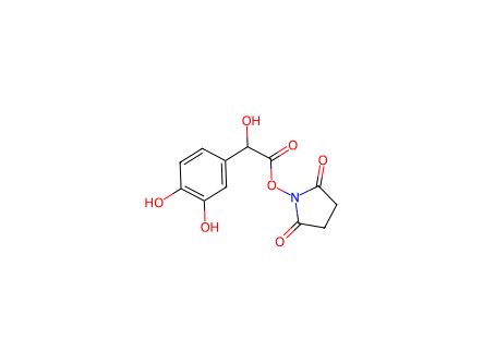 O=C(ON1C(=O)CCC1=O)C(O)c1ccc(O)c(O)c1